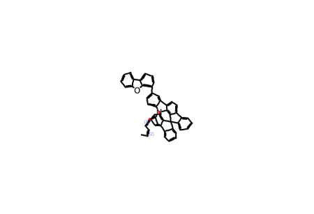 C/C=C\C=C/C(C)n1c2ccc(-c3cccc4c3oc3ccccc34)cc2c2ccc3c(c21)C1(c2ccccc2-c2ccccc21)c1ccccc1-3